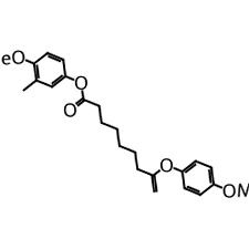 C=C(CCCCCCC(=O)Oc1ccc(OC)c(C)c1)Oc1ccc(OC)cc1